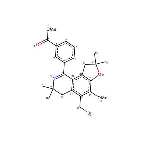 COC(=O)c1cccc(C2=NC(C)(C)Cc3c(CBr)c(OC)c4c(c32)CC(C)(C)O4)c1